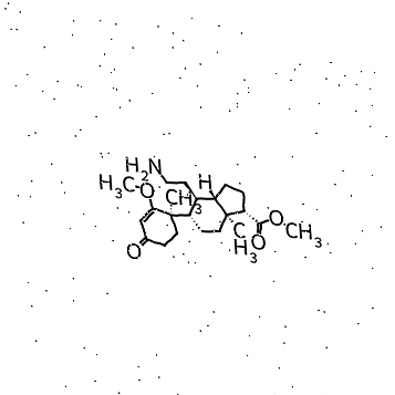 COC(=O)[C@H]1CC[C@H]2[C@H](CCN)[C@@H]([C@@]3(C)CCC(=O)C=C3OC)CC[C@]12C